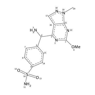 COc1nc(C(N)c2ccc(S(N)(=O)=O)cc2)c2cnn(C)c2n1